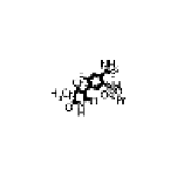 CCCS(=O)(=O)Nc1cc(-c2c(C(F)(F)F)n(C)c(=O)[nH]c2=O)c(F)cc1C(N)=S